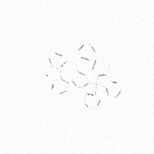 CC1(C)c2ccccc2-c2c(N(c3ccccc3)c3cccc(C4(c5ccccc5)C5=C(CCC=C5)c5ccccc54)c3)cccc21